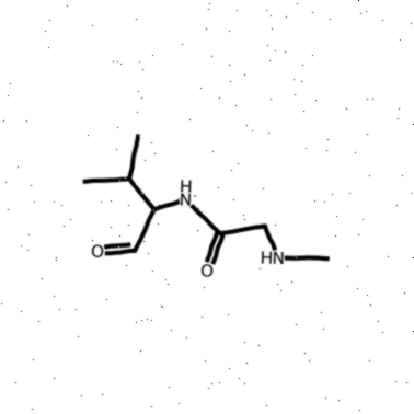 CNCC(=O)NC(C=O)C(C)C